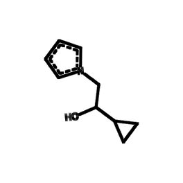 OC(Cn1cccc1)C1CC1